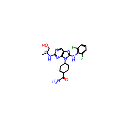 C[C@@H](CO)Nc1ncc2nc(Nc3c(F)cccc3F)n(C3CCC(C(N)=O)CC3)c2n1